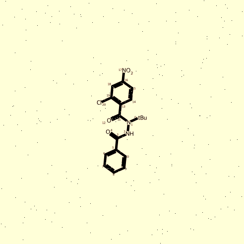 CC(C)(C)N(NC(=O)c1ccccc1)C(=O)c1ccc([N+](=O)[O-])cc1Cl